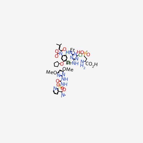 CC(C)=C1OC(=O)N(c2cc(OC3CCCC3)c(Cl)cc2F)C1=O.CCNc1nc(Cl)nc(NC(C)C)n1.COc1cc(OC)nc(NC(=O)NS(=O)(=O)c2ncccc2C(=O)N(C)C)n1.CP(=O)(O)CCC(N)C(=O)O